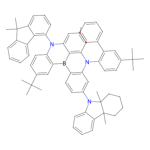 Cc1cc2c3c(c1)N(c1cccc4c1-c1ccccc1C4(C)C)c1ccc(C(C)(C)C)cc1B3c1ccc(N3c4ccccc4C4(C)CCCCC34C)cc1N2c1ccc(C(C)(C)C)cc1-c1ccccc1